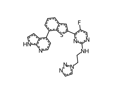 Fc1cnc(NCCn2ccnn2)nc1-c1cc2cccc(-c3ccnc4[nH]ccc34)c2s1